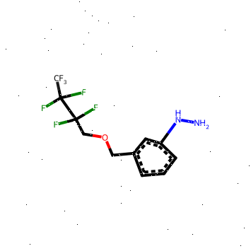 NNc1cccc(COCC(F)(F)C(F)(F)C(F)(F)F)c1